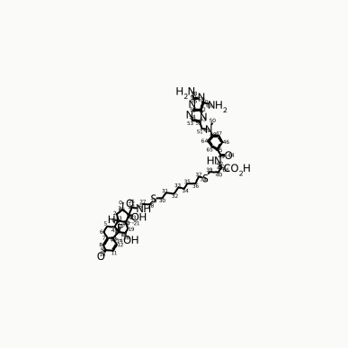 C[C@@H]1C[C@H]2C3CCC4=CC(=O)C=C[C@]4(C)[C@@]3(F)[C@@H](O)C[C@]2(C)[C@@]1(O)C(=O)NCCSCCCCCCCCSCC[C@H](NC(=O)c1ccc(N(C)Cc2cnc3nc(N)nc(N)c3n2)cc1)C(=O)O